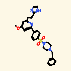 COc1cc(CCc2ncc[nH]2)nc(-c2ccc(S(=O)(=O)N3CCN(Cc4ccccc4)CC3)cc2)c1